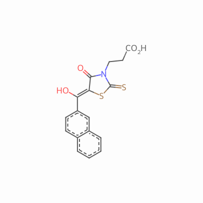 O=C(O)CCN1C(=O)C(=C(O)c2ccc3ccccc3c2)SC1=S